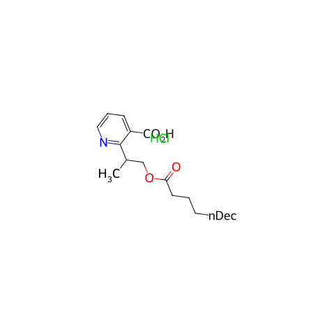 CCCCCCCCCCCCCC(=O)OCC(C)c1ncccc1C(=O)O.Cl